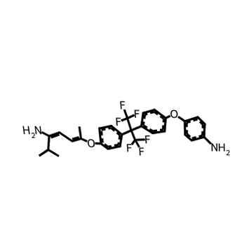 C/C(=C\C=C(\N)C(C)C)Oc1ccc(C(c2ccc(Oc3ccc(N)cc3)cc2)(C(F)(F)F)C(F)(F)F)cc1